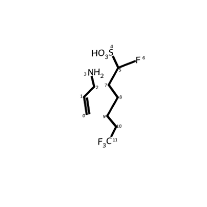 C=CCN.O=S(=O)(O)C(F)CCCCC(F)(F)F